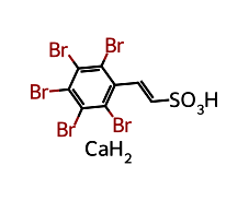 O=S(=O)(O)C=Cc1c(Br)c(Br)c(Br)c(Br)c1Br.[CaH2]